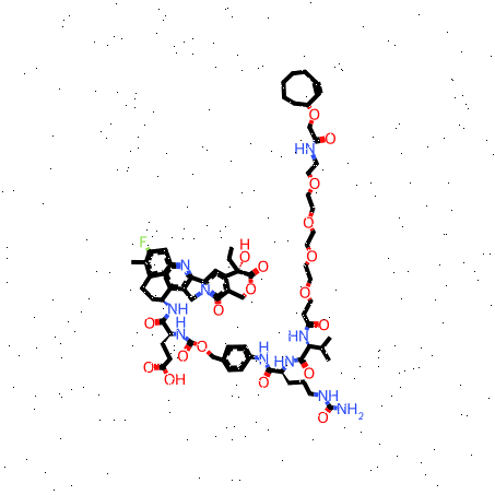 CC[C@@]1(O)C(=O)OCc2c1cc1n(c2=O)Cc2c-1nc1cc(F)c(C)c3c1c2[C@@H](NC(=O)[C@H](CCC(=O)O)NC(=O)OCc1ccc(NC(=O)[C@H](CCCNC(N)=O)NC(=O)[C@@H](NC(=O)CCOCCOCCOCCOCCNC(=O)COC2C#CCCCCC2)C(C)C)cc1)CC3